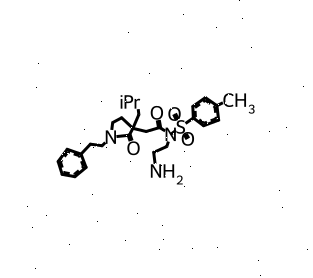 Cc1ccc(S(=O)(=O)N(CCN)C(=O)CC2(CC(C)C)CCN(CCc3ccccc3)C2=O)cc1